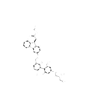 CCOC(=O)/C=C1\c2ccccc2-c2cc(OCc3cccc(-c4c(C)cc(OC[C@H](O)CO)cc4C)c3C)ccc21